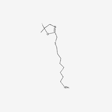 CCCCCCCCCCCCCCCCCCSCC1=NCC(C)(C)O1